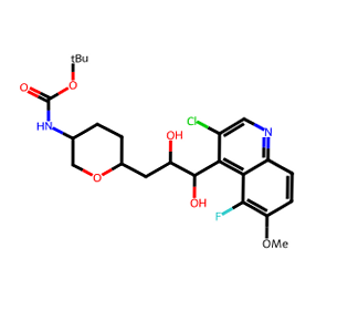 COc1ccc2ncc(Cl)c(C(O)C(O)CC3CCC(NC(=O)OC(C)(C)C)CO3)c2c1F